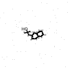 CC(C)(O)Cc1ccc2ccccc2c1